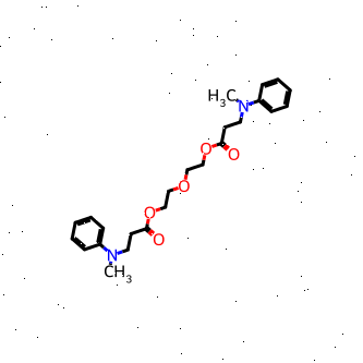 CN(CCC(=O)OCCOCCOC(=O)CCN(C)c1ccccc1)c1ccccc1